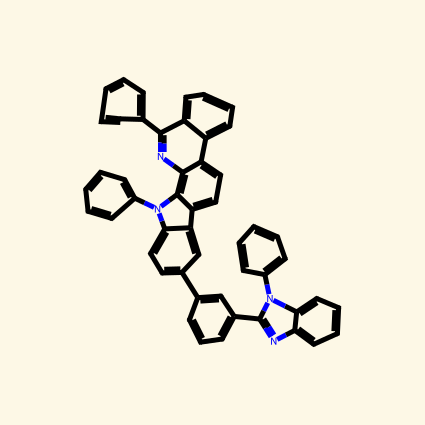 c1ccc(-c2nc3c(ccc4c5cc(-c6cccc(-c7nc8ccccc8n7-c7ccccc7)c6)ccc5n(-c5ccccc5)c43)c3ccccc23)cc1